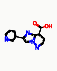 O=C(O)c1ccnn2cc(-c3cccnc3)nc12